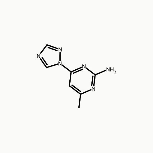 Cc1cc(-n2cncn2)nc(N)n1